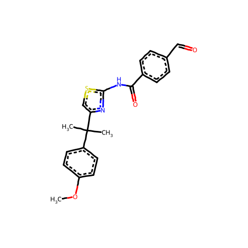 COc1ccc(C(C)(C)c2csc(NC(=O)c3ccc(C=O)cc3)n2)cc1